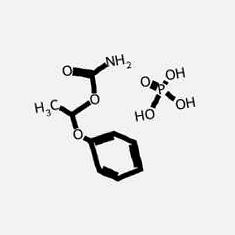 CC(OC(N)=O)Oc1ccccc1.O=P(O)(O)O